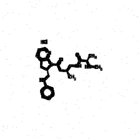 CN[C@@H](C)C(=O)NC[C@@H](C)CC(=O)N1c2ncccc2C[C@H]1CNc1ccccc1.Cl